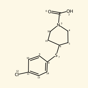 O=C(O)N1CCC(Sc2ccc(Cl)cc2)CC1